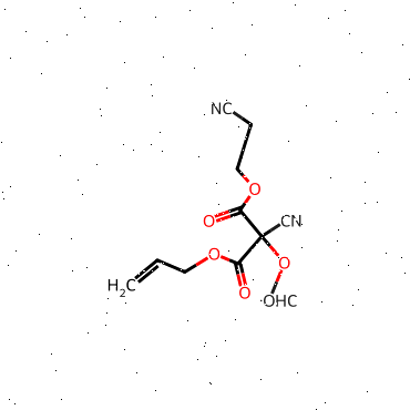 C=CCOC(=O)C(C#N)(O[C]=O)C(=O)OCCC#N